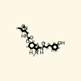 Cc1cc(CNC(=O)OC2CCc3c(sc(NC(=O)CCc4cccc(O)c4)c3N)C2)no1